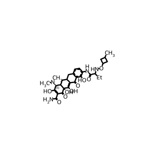 CCC(NOC1CC(C)C1)C(=O)Nc1ccc2c(c1O)C(=O)C1=C(O)C3(O)C(=O)C(C(N)=O)=C(O)[C@@H](N(C)C)C3CC1C2